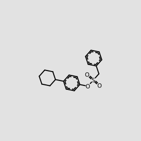 O=S(=O)(Cc1ccccc1)Oc1ccc(C2CCCCC2)cc1